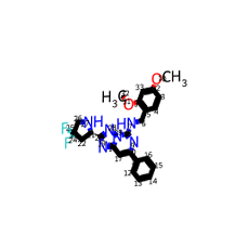 COc1ccc(CNc2nc(-c3ccccc3)cc3nc([C@@H]4CC(F)(F)CN4)nn23)c(OC)c1